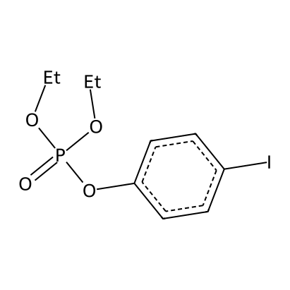 CCOP(=O)(OCC)Oc1ccc(I)cc1